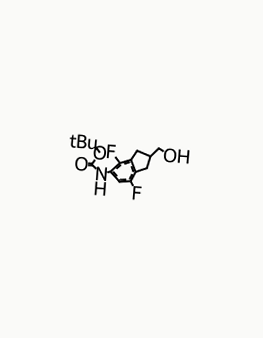 CC(C)(C)OC(=O)Nc1cc(F)c2c(c1F)CC(CO)C2